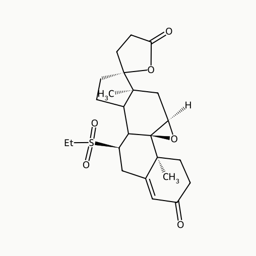 CCS(=O)(=O)[C@@H]1CC2=CC(=O)CC[C@]2(C)[C@@]23O[C@@H]2C[C@@]2(C)C(CC[C@@]24CCC(=O)O4)C13